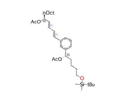 CCCCCCCC[C@@H](/C=C/C=C/c1cccc([C@H](CCCCO[Si](C)(C)C(C)(C)C)OC(C)=O)c1)OC(C)=O